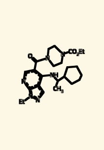 CCOC(=O)N1CCN(C(=O)c2cnc3c(cnn3CC)c2NC(C)C2CCCCC2)CC1